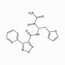 NC(=O)C(=O)C(Cc1ccco1)NC(=O)c1nonc1-c1ccccn1